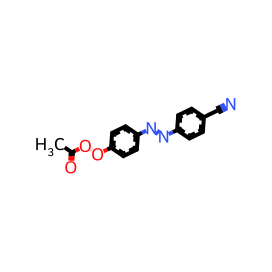 CC(=O)OOc1ccc(N=Nc2ccc(C#N)cc2)cc1